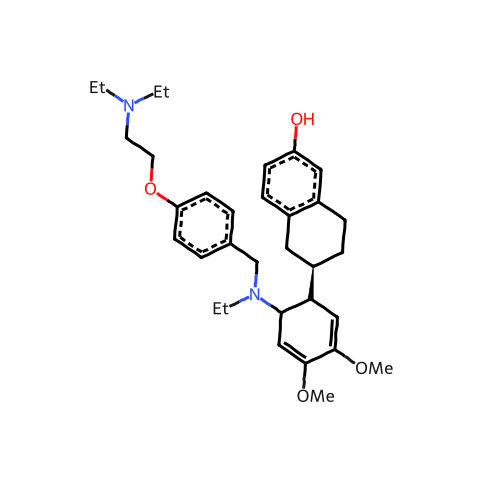 CCN(CC)CCOc1ccc(CN(CC)C2C=C(OC)C(OC)=CC2[C@@H]2CCc3cc(O)ccc3C2)cc1